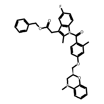 Cc1cc(OC[C@@H]2CN(C)c3ccccc3O2)ccc1C(=O)n1c(C)c(CC(=O)OCc2ccccc2)c2cc(F)ccc21